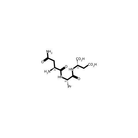 CC(C)[C@H](NC(=O)[C@@H](N)CC(N)=O)C(=O)N[C@@H](CC(=O)O)C(=O)O